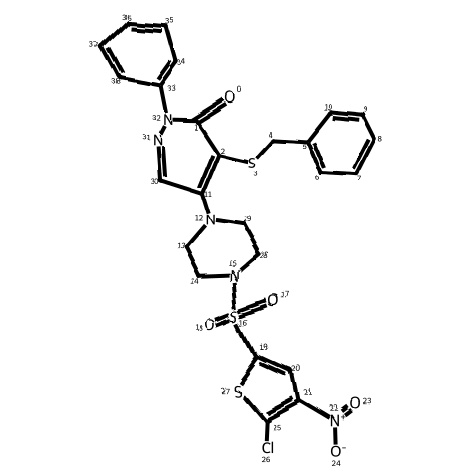 O=c1c(SCc2ccccc2)c(N2CCN(S(=O)(=O)c3cc([N+](=O)[O-])c(Cl)s3)CC2)cnn1-c1ccccc1